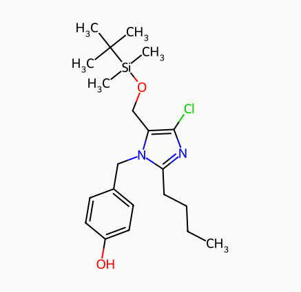 CCCCc1nc(Cl)c(CO[Si](C)(C)C(C)(C)C)n1Cc1ccc(O)cc1